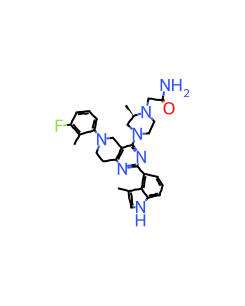 Cc1c(F)cccc1N1CCc2nc(-c3cccc4[nH]cc(C)c34)nc(N3CCN(CC(N)=O)[C@H](C)C3)c2C1